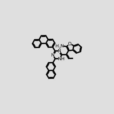 C/C=C(/C1=NC(c2ccc3ccc4ccccc4c3c2)=NC(c2ccc3ccccc3c2)N1)c1c(N)oc2ccccc12